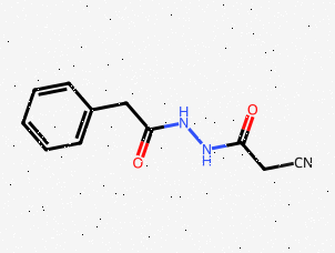 N#CCC(=O)NNC(=O)Cc1ccccc1